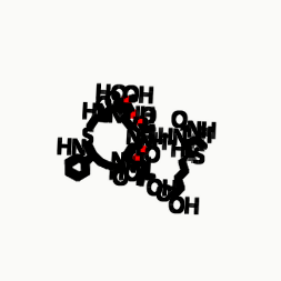 CC1NC(=O)C(CC(C)(O)CO)NC(=O)C2Cc3c([nH]c4ccccc34)SCC(NC(=O)C(C(C)O)NC1=O)C(=O)N1CC(O)CC1C(=O)NC(C)C(=O)N2.O=C(O)CCCC[C@@H]1SC[C@@H]2NC(=O)N[C@@H]21